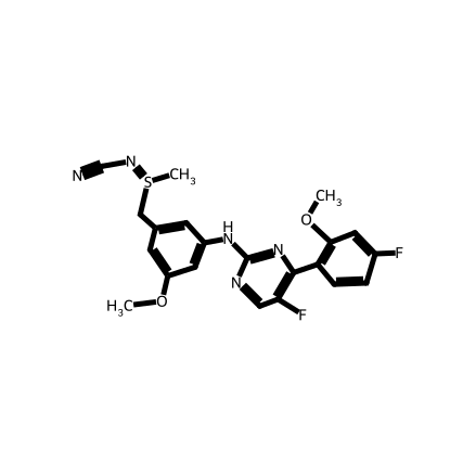 COc1cc(C/S(C)=N\C#N)cc(Nc2ncc(F)c(-c3ccc(F)cc3OC)n2)c1